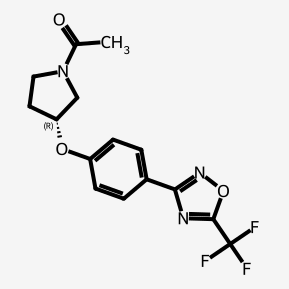 CC(=O)N1CC[C@@H](Oc2ccc(-c3noc(C(F)(F)F)n3)cc2)C1